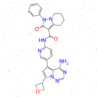 Nc1ncnn2c(C3COC3)cc(-c3ccc(NC(=O)c4c5n(n(-c6ccccc6)c4=O)CCCC5)nc3)c12